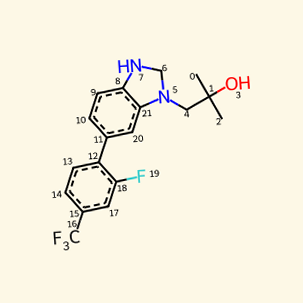 CC(C)(O)CN1CNc2ccc(-c3ccc(C(F)(F)F)cc3F)cc21